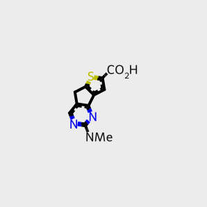 CNc1ncc2c(n1)-c1cc(C(=O)O)sc1C2